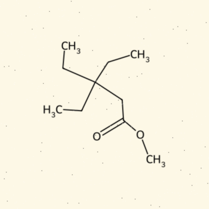 CCC(CC)(CC)CC(=O)OC